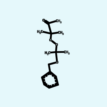 CC(=O)C(C)(C)OOC(C)(C)OCc1ccccc1